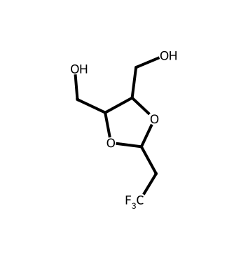 OCC1OC(CC(F)(F)F)OC1CO